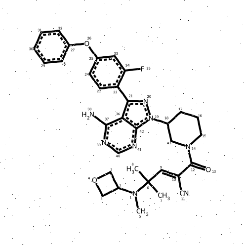 CN(C1COC1)C(C)(C)C=C(C#N)C(=O)N1CCCC(n2nc(-c3ccc(Oc4ccccc4)cc3F)c3c(N)ncnc32)C1